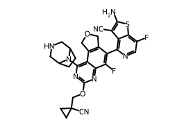 N#Cc1c(N)sc2c(F)cnc(-c3c4c(c5c(N6C7CCC6CNC7)nc(OCC6(C#N)CC6)nc5c3F)COC4)c12